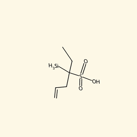 C=CCC([SiH3])(CC)S(=O)(=O)O